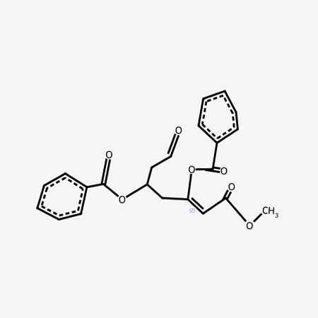 COC(=O)/C=C(/CC(CC=O)OC(=O)c1ccccc1)OC(=O)c1ccccc1